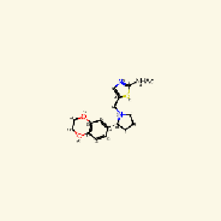 CC(=O)Nc1ncc(CN2CCC[C@@H]2c2ccc3c(c2)OCCO3)s1